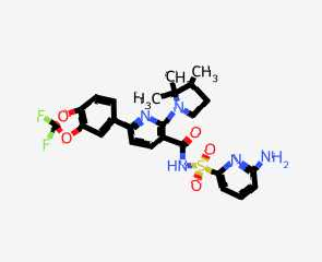 CC1CCN(c2nc(-c3ccc4c(c3)OC(F)(F)O4)ccc2C(=O)NS(=O)(=O)c2cccc(N)n2)C1(C)C